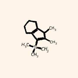 CC1=[C]([Ti]([CH3])([CH3])[CH3])C2=C(CCCC2)C1C